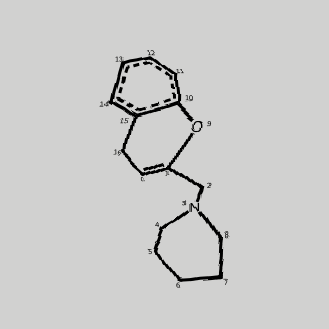 C1=C(CN2CCCCC2)Oc2ccccc2C1